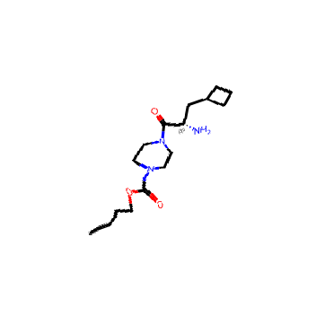 CCCCOC(=O)N1CCN(C(=O)[C@@H](N)CC2CCC2)CC1